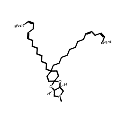 CCCCC/C=C\C/C=C\CCCCCCCCC1(CCCCCCCC/C=C\C/C=C\CCCCC)CCC2(CC1)O[C@H]1CN(C)C[C@H]1O2